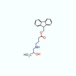 O=C(CCCNCC(O)C(=O)O)OCC1c2ccccc2-c2ccccc21